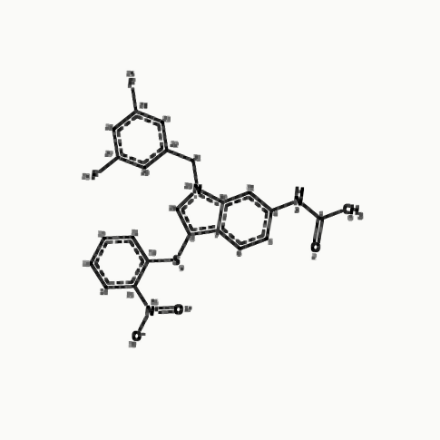 CC(=O)Nc1ccc2c(Sc3ccccc3[N+](=O)[O-])cn(Cc3cc(F)cc(F)c3)c2c1